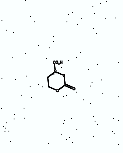 O=C1OCCN(C(=O)O)S1